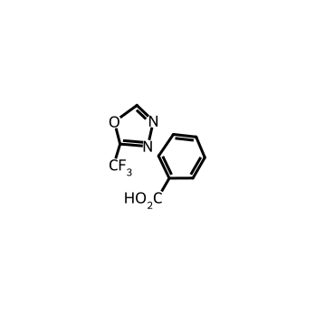 FC(F)(F)c1nnco1.O=C(O)c1ccccc1